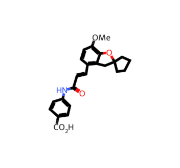 COc1ccc(C=CC(=O)Nc2ccc(C(=O)O)cc2)c2c1OC1(CCCC1)C2